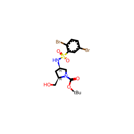 CC(C)(C)OC(=O)N1C[C@H](NS(=O)(=O)c2cc(Br)ccc2Br)C[C@@H]1CO